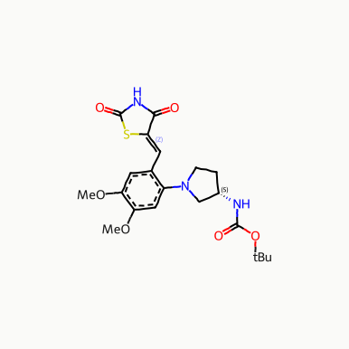 COc1cc(/C=C2\SC(=O)NC2=O)c(N2CC[C@H](NC(=O)OC(C)(C)C)C2)cc1OC